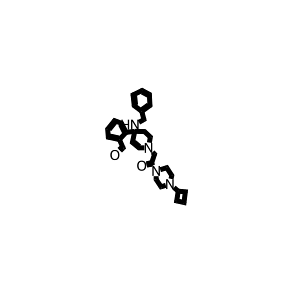 O=Cc1ccccc1C1(NCc2ccccc2)C=CN(CC(=O)N2CCN(C3CCC3)CC2)CC1